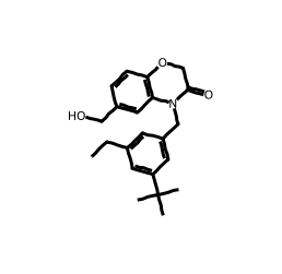 CCc1cc(CN2C(=O)COc3ccc(CO)cc32)cc(C(C)(C)C)c1